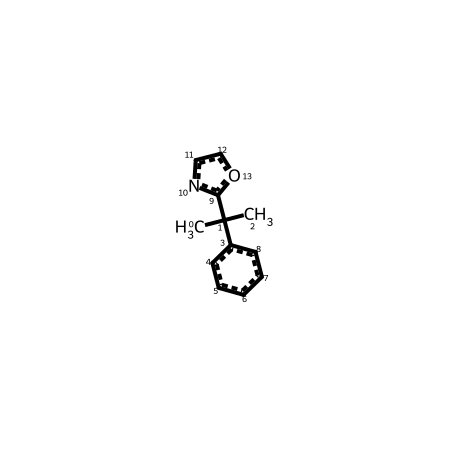 CC(C)(c1ccccc1)c1ncco1